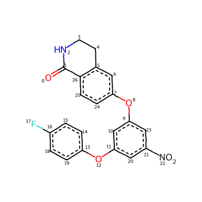 O=C1NCCc2cc(Oc3cc(Oc4ccc(F)cc4)cc([N+](=O)[O-])c3)ccc21